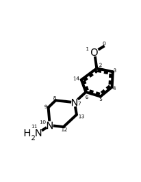 COc1cccc(N2CCN(N)CC2)c1